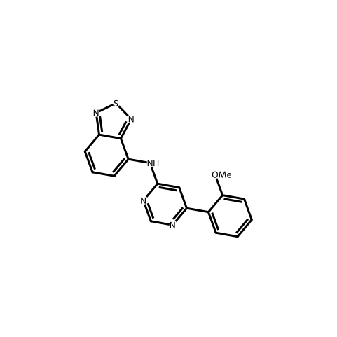 COc1ccccc1-c1cc(Nc2cccc3nsnc23)ncn1